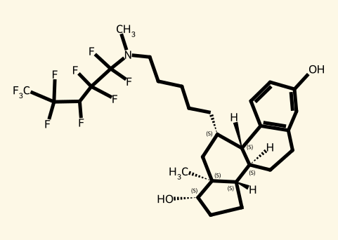 CN(CCCCC[C@H]1C[C@]2(C)[C@@H](O)CC[C@H]2[C@@H]2CCc3cc(O)ccc3[C@@H]12)C(F)(F)C(F)(F)C(F)C(F)(F)C(F)(F)F